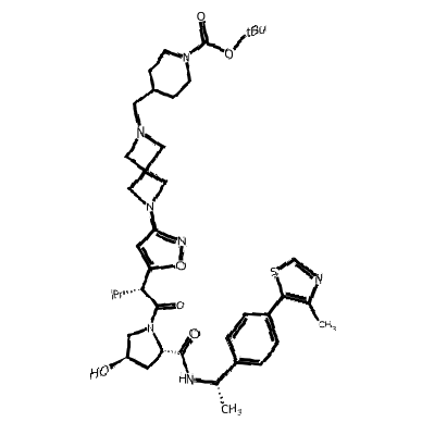 Cc1ncsc1-c1ccc([C@H](C)NC(=O)[C@@H]2C[C@@H](O)CN2C(=O)[C@@H](c2cc(N3CC4(CN(CC5CCN(C(=O)OC(C)(C)C)CC5)C4)C3)no2)C(C)C)cc1